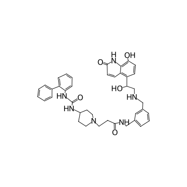 O=C(CCN1CCC(NC(=O)Nc2ccccc2-c2ccccc2)CC1)NCc1cccc(CNCC(O)c2ccc(O)c3[nH]c(=O)ccc23)c1